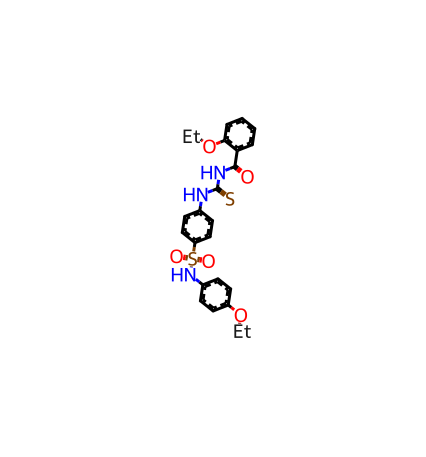 CCOc1ccc(NS(=O)(=O)c2ccc(NC(=S)NC(=O)c3ccccc3OCC)cc2)cc1